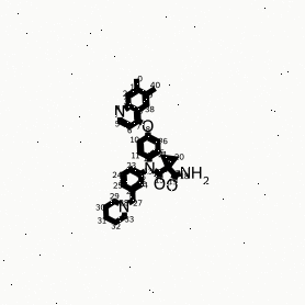 Cc1cc2nccc(Oc3ccc(N(C(=O)C4(C(N)=O)CC4)c4cccc(CN5CCCCC5)c4)cc3)c2cc1C